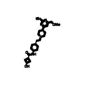 COCc1cc(N2CCN(CC[C@H]3CC[C@H](NC(=O)[C@H]4C[C@@H](O)C4)CC3)CC2)nc(C(C)(C)C)n1